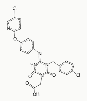 O=C(O)Cn1c(=O)[nH]/c(=N\c2ccc(Oc3ccc(Cl)cn3)cc2)n(Cc2ccc(Cl)cc2)c1=O